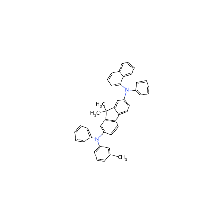 Cc1cccc(N(c2ccccc2)c2ccc3c(c2)C(C)(C)c2cc(N(c4ccccc4)c4cccc5ccccc45)ccc2-3)c1